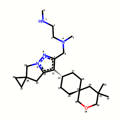 CNCCN(C)Cc1nn2c(c1[C@H]1CC[C@]3(CC1)COCC(C)(C)C3)CC1(CC1)C2